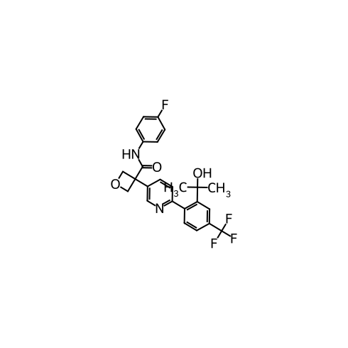 CC(C)(O)c1cc(C(F)(F)F)ccc1-c1ccc(C2(C(=O)Nc3ccc(F)cc3)COC2)cn1